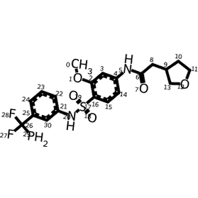 COc1cc(NC(=O)CC2CCOC2)ccc1S(=O)(=O)Nc1cccc(C(F)(F)P)c1